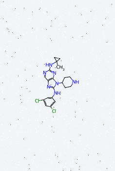 CC1(Nc2ncc3nc(Nc4cc(Cl)cc(Cl)c4)n(C4CCNCC4)c3n2)CC1